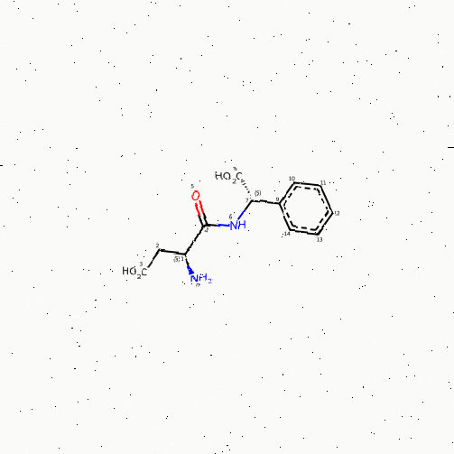 N[C@@H](CC(=O)O)C(=O)N[C@H](C(=O)O)c1ccccc1